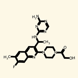 Cc1cc2cc(C(C)Nc3ncnc(N)n3)c(N3CCN(C(=O)CO)CC3)nc2cc1F